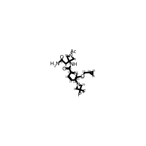 CC(=O)N1CC(CC(N)=O)(NC(=O)c2ccc(N3CC(F)(F)C3)c(OCC3CC3)n2)C1